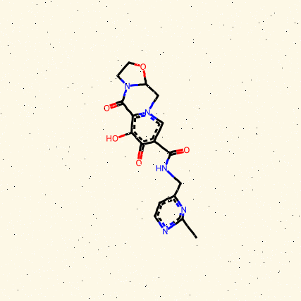 Cc1nccc(CNC(=O)c2cn3c(c(O)c2=O)C(=O)N2CCOC2C3)n1